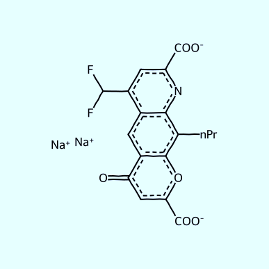 CCCc1c2nc(C(=O)[O-])cc(C(F)F)c2cc2c(=O)cc(C(=O)[O-])oc12.[Na+].[Na+]